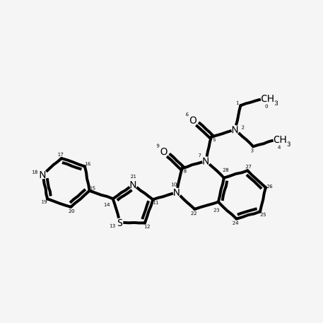 CCN(CC)C(=O)N1C(=O)N(c2csc(-c3ccncc3)n2)Cc2[c]cccc21